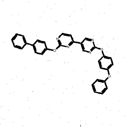 [c]1nc(Oc2ccc(Oc3ccccc3)cc2)ncc1-c1ccnc(Oc2ccc(-c3ccccc3)cc2)n1